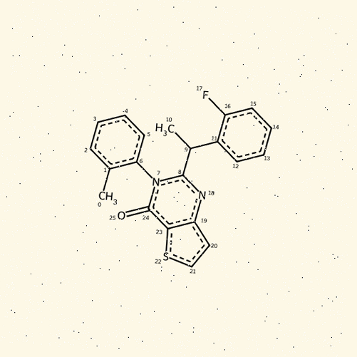 Cc1ccccc1-n1c(C(C)c2ccccc2F)nc2ccsc2c1=O